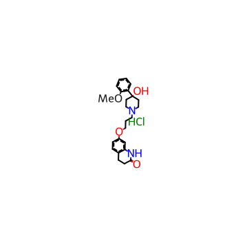 COc1ccccc1C1(O)CCN(CCCOc2ccc3c(c2)NC(=O)CC3)CC1.Cl